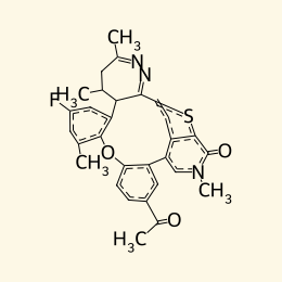 CC(=O)c1ccc2c(c1)-c1cn(C)c(=O)c3sc(cc13)C1=NN=C(C)CC(C)C1c1cc(F)cc(C)c1O2